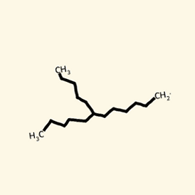 [CH2]CCCCCC(CCCCC)CCCCC